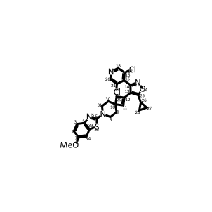 COc1ccc2nc(N3CCC4(C=C(c5c(-c6c(Cl)cncc6Cl)noc5C5CC5)C4)CC3)sc2c1